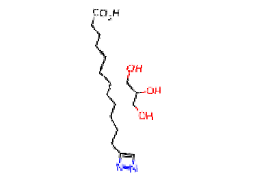 O=C(O)CCCCCCCCCCCC1=CN=N1.OCC(O)CO